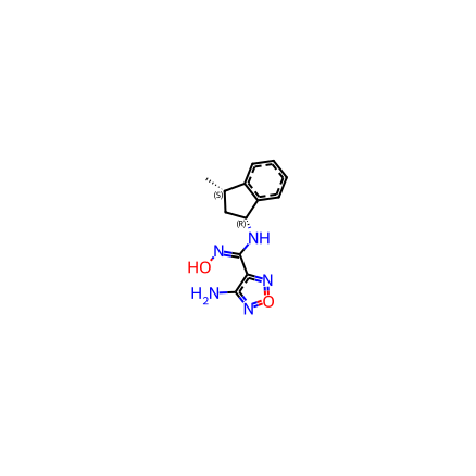 C[C@H]1C[C@@H](NC(=NO)c2nonc2N)c2ccccc21